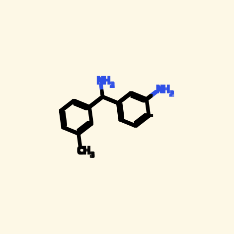 Cc1cccc(C(N)c2cc[c]c(N)c2)c1